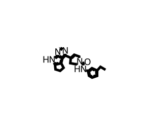 CCc1cccc(NC(=O)N2CC=C(c3ncnc4[nH]c5c(c34)CCC5)CC2)c1